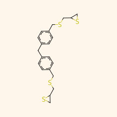 c1cc(Cc2ccc(CSCC3CS3)cc2)ccc1CSCC1CS1